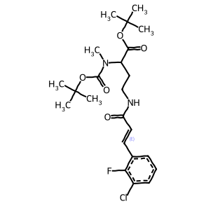 CN(C(=O)OC(C)(C)C)C(CCNC(=O)/C=C/c1cccc(Cl)c1F)C(=O)OC(C)(C)C